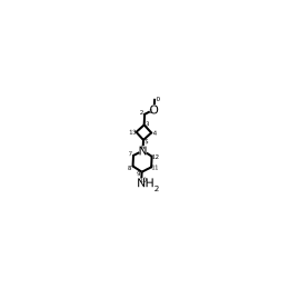 COCC1CC(N2CCC(N)CC2)C1